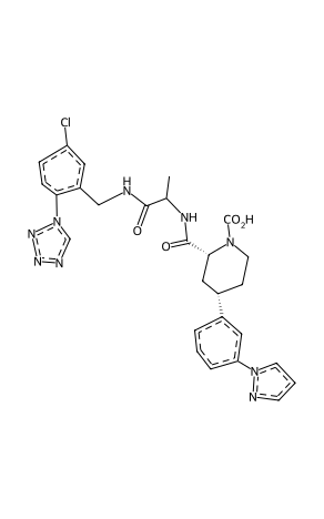 CC(NC(=O)[C@H]1C[C@@H](c2cccc(-n3cccn3)c2)CCN1C(=O)O)C(=O)NCc1cc(Cl)ccc1-n1cnnn1